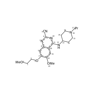 COCCOc1cc2nc(C#N)nc(NC3CCN(C(C)C)CC3)c2cc1OC